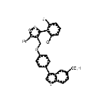 CC(C)c1onc(-c2c(Cl)cccc2Cl)c1COc1ccc(-c2csc3ccc(C(=O)O)cc23)cc1